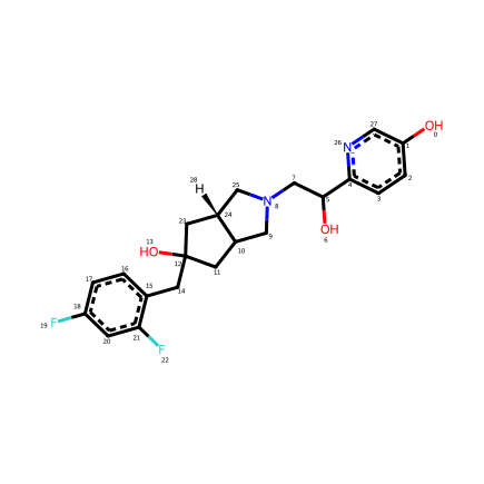 Oc1ccc(C(O)CN2CC3CC(O)(Cc4ccc(F)cc4F)C[C@@H]3C2)nc1